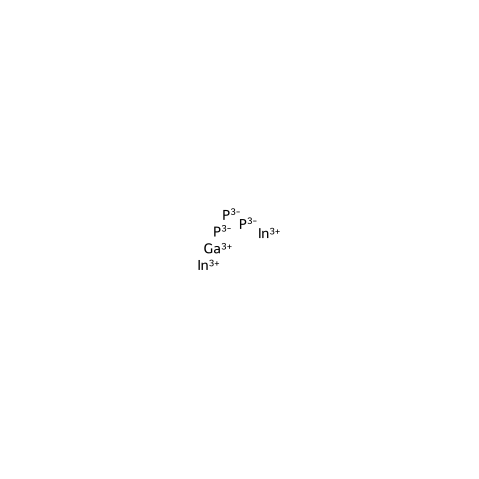 [Ga+3].[In+3].[In+3].[P-3].[P-3].[P-3]